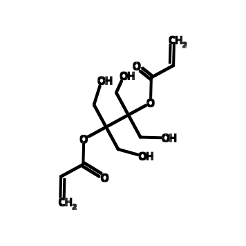 C=CC(=O)OC(CO)(CO)C(CO)(CO)OC(=O)C=C